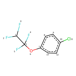 FC(F)C(F)(F)Oc1ccc(Cl)cc1